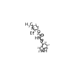 CCc1nc(C)ccc1OCC(=O)N/N=C/c1cccc2[nH]ccc12